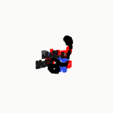 CCN(CC)C(=O)c1nn(CC(O)COCc2ccccc2)c(=O)c2c1c1c(OC)cccc1n2C